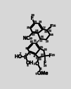 COCO[C@H]1c2c(B(O)O)ccc([C@H]3CC[C@H](F)c4cc(F)cc(C#N)c43)c2CC1(F)F